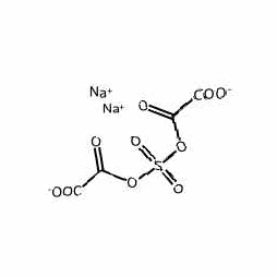 O=C([O-])C(=O)OS(=O)(=O)OC(=O)C(=O)[O-].[Na+].[Na+]